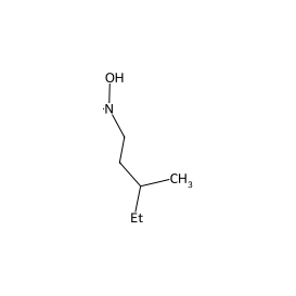 CCC(C)CC[N]O